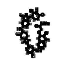 CNC(=O)COc1cc2cc(Nc3nc(N4CC5(CC[C@H](Nc6ccc7c(C8CCC(=O)NC8=O)nn(C)c7c6)[C@H](C)C5)C4)ncc3Cl)cnc2n(C)c1=O